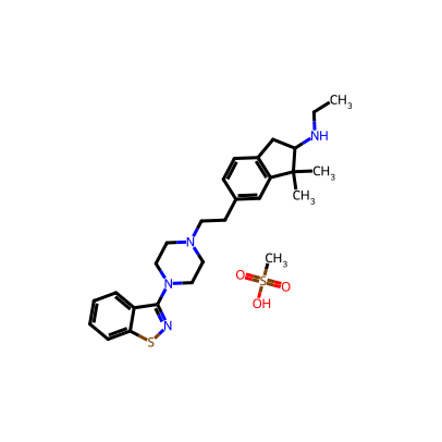 CCNC1Cc2ccc(CCN3CCN(c4nsc5ccccc45)CC3)cc2C1(C)C.CS(=O)(=O)O